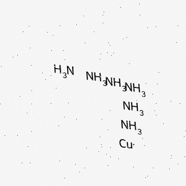 N.N.N.N.N.N.[Cu]